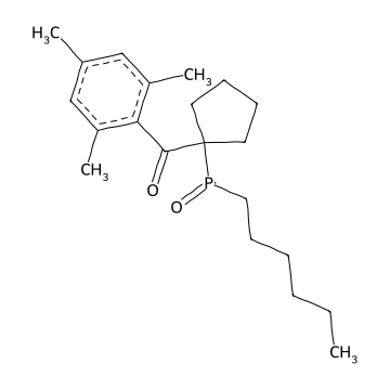 CCCCCC[P](=O)C1(C(=O)c2c(C)cc(C)cc2C)CCCC1